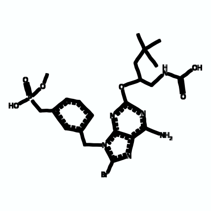 COP(=O)(O)Cc1cccc(Cn2c(Br)nc3c(N)nc(OC(CNC(=O)O)CC(C)(C)C)nc32)c1